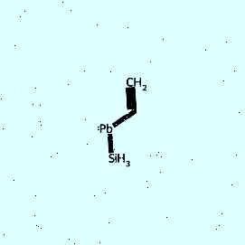 C=[CH][Pb][SiH3]